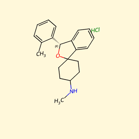 CNC1CCC2(CC1)O[C@H](c1ccccc1C)c1ccccc12.Cl